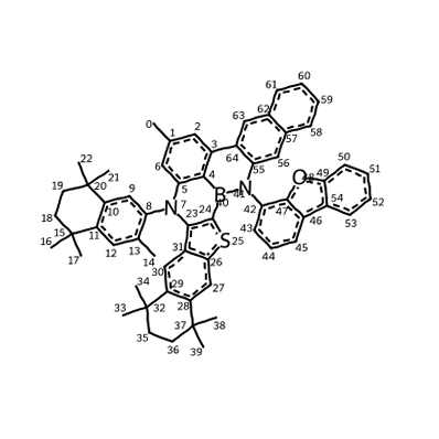 Cc1cc2c3c(c1)N(c1cc4c(cc1C)C(C)(C)CCC4(C)C)c1c(sc4cc5c(cc14)C(C)(C)CCC5(C)C)B3N(c1cccc3c1oc1ccccc13)c1cc3ccccc3cc1-2